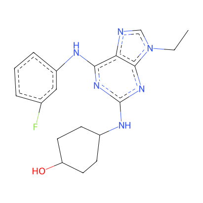 CCn1cnc2c(Nc3cccc(F)c3)nc(NC3CCC(O)CC3)nc21